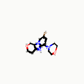 Brc1cc(N2CCOCC2)c2nc3c(n2c1)COCC3